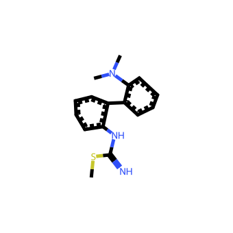 CSC(=N)Nc1ccccc1-c1ccccc1N(C)C